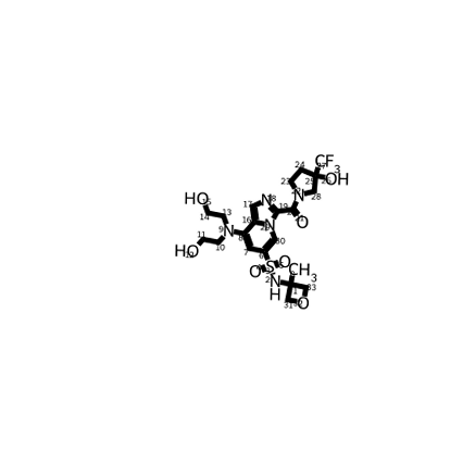 CC1(NS(=O)(=O)c2cc(N(CCO)CCO)c3cnc(C(=O)N4CCC(O)(C(F)(F)F)C4)n3c2)COC1